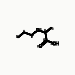 CC[CH]OC(C)C(=O)O